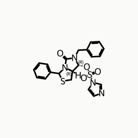 O=C1N(Cc2ccccc2)[C@H](OS(=O)(=O)n2ccnc2)[C@@H]2CSC(c3ccccc3)N12